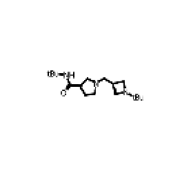 CC(C)(C)NC(=O)C1CCN(CC2CN(C(C)(C)C)C2)C1